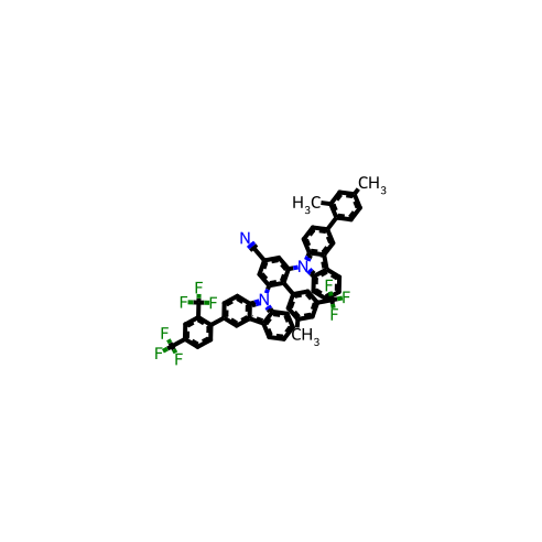 Cc1cc(-c2c(-n3c4ccccc4c4cc(-c5ccc(C)cc5C)ccc43)cc(C#N)cc2-n2c3ccccc3c3cc(-c4ccc(C(F)(F)F)cc4C(F)(F)F)ccc32)cc(C(F)(F)F)c1